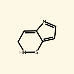 C1=NC2=CCNSC2=C1